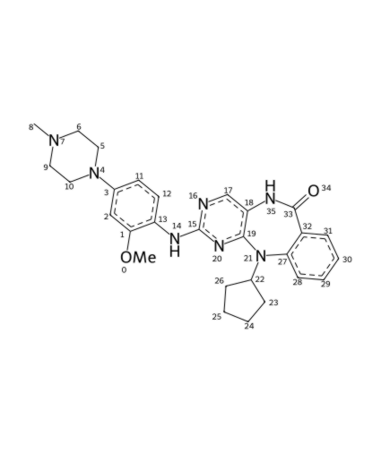 COc1cc(N2CCN(C)CC2)ccc1Nc1ncc2c(n1)N(C1CCCC1)c1ccccc1C(=O)N2